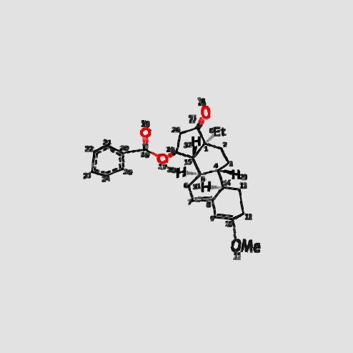 CC[C@]12CC[C@H]3[C@@H](CC=C4C=C(OC)CC[C@@H]43)[C@@H]1[C@@H](OC(=O)c1ccccc1)CC2=O